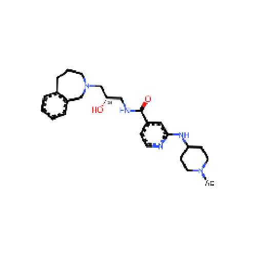 CC(=O)N1CCC(Nc2cc(C(=O)NC[C@H](O)CN3CCCc4ccccc4C3)ccn2)CC1